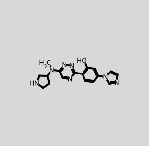 CN(c1cnc(-c2ccc(-n3ccnc3)cc2O)nn1)C1CCNC1